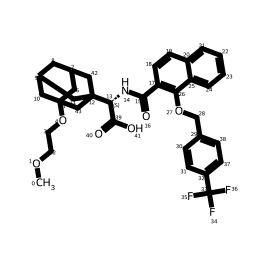 COCCOC12CC3CC(C1)CC([C@H](NC(=O)c1ccc4ccccc4c1OCc1ccc(C(F)(F)F)cc1)C(=O)O)(C3)C2